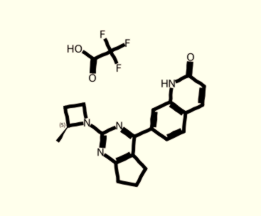 C[C@H]1CCN1c1nc2c(c(-c3ccc4ccc(=O)[nH]c4c3)n1)CCC2.O=C(O)C(F)(F)F